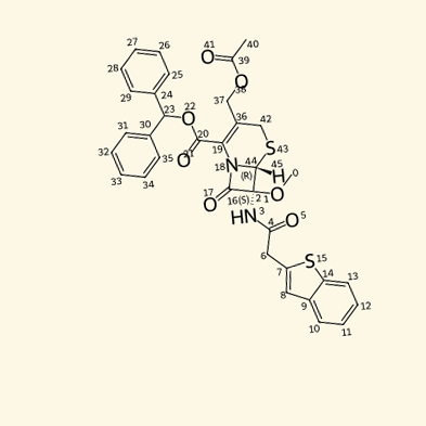 CO[C@@]1(NC(=O)Cc2cc3ccccc3s2)C(=O)N2C(C(=O)OC(c3ccccc3)c3ccccc3)=C(COC(C)=O)CS[C@@H]21